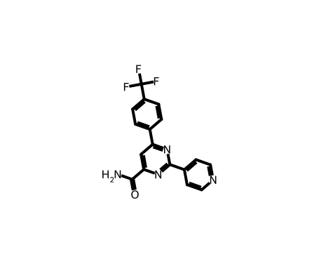 NC(=O)c1cc(-c2ccc(C(F)(F)F)cc2)nc(-c2ccncc2)n1